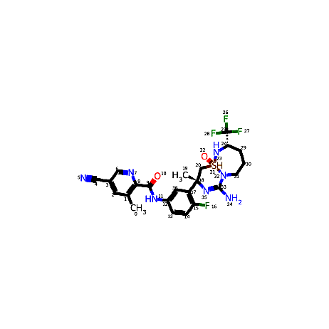 Cc1cc(C#N)cnc1C(=O)Nc1ccc(F)c([C@]2(C)C[SH]3(=O)N[C@H](C(F)(F)F)CCCN3C(N)=N2)c1